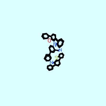 N#Cc1cc(-c2cccc(-n3c4ccccc4c4ccc5c6ccccc6sc5c43)c2)ccc1-n1c2ccccc2c2ccc3c4ccccc4oc3c21